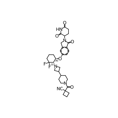 N#CC1(C(=O)N2CCC(C3CN([C@H]4[C@H](Oc5ccc6c(c5)CN(C5CCC(=O)NC5=O)C6=O)CCCC4(F)F)C3)CC2)CCC1